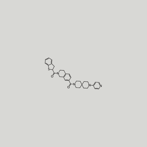 O=C(c1ccc2c(c1)CN(C(=O)C1Cc3ccccc3S1)CC2)N1CCC2(CC1)CCN(c1ccncc1)CC2